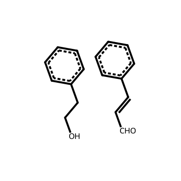 O=CC=Cc1ccccc1.OCCc1ccccc1